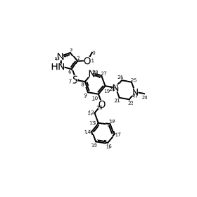 COc1cn[nH]c1Sc1cc(OCc2ccccc2)c(N2CCN(C)CC2)cn1